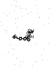 CC1CCCN1CCc1ccc(-c2ccc(C3(C(=O)NCC[C@@H](C(=O)O)C(C)(C)C)CCCC3)cc2)cc1